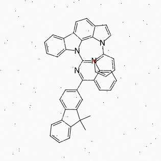 CC1(C)c2ccccc2-c2ccc(-c3nc(-n4c5ccccc5c5ccc6ccn(-c7ccccc7)c6c54)nc4ccccc34)cc21